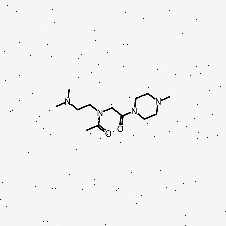 CC(=O)N(CCN(C)C)CC(=O)N1CCN(C)CC1